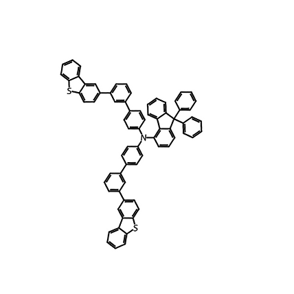 c1ccc(C2(c3ccccc3)c3ccccc3-c3c(N(c4ccc(-c5cccc(-c6ccc7sc8ccccc8c7c6)c5)cc4)c4ccc(-c5cccc(-c6ccc7sc8ccccc8c7c6)c5)cc4)cccc32)cc1